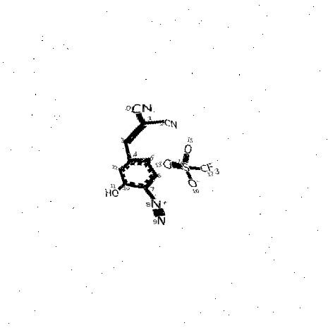 N#CC(C#N)=Cc1ccc([N+]#N)c(O)c1.O=S(=O)([O-])C(F)(F)F